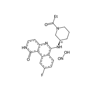 CCC(=O)N1CCC[C@@H](Nc2nc3cc[nH]c(=O)c3c3cc(F)ccc23)C1.O=NO